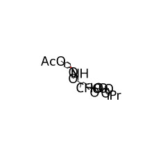 CC(=O)Oc1ccc(CONC(=O)CCC(C=O)Cc2ccc(C(=O)OCOC(=O)OC(C)C)cc2)cc1